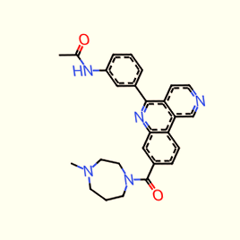 CC(=O)Nc1cccc(-c2nc3cc(C(=O)N4CCCN(C)CC4)ccc3c3cnccc23)c1